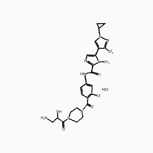 Cl.Cn1c(-c2cn(C3CC3)nc2C(F)(F)F)cnc1C(=O)Nc1ccc(C(=O)N2CCN(C(=O)C(O)CN)CC2)c(Cl)c1